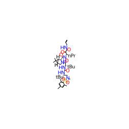 C=CCNC(=O)C(=O)C(CCC)NC(=O)[C@@H]1[C@@H]2[C@H](CN1C(=O)[C@@H](NC(=O)N[C@H](CN(C)S(=O)(=O)c1c(C)cc(C)cc1C)C(C)(C)C)C(C)(C)C)C2(C)C